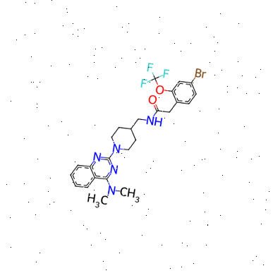 CN(C)c1nc(N2CCC(CNC(=O)Cc3ccc(Br)cc3OC(F)(F)F)CC2)nc2ccccc12